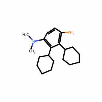 CN(C)c1ccc(P)c(C2CCCCC2)c1C1CCCCC1